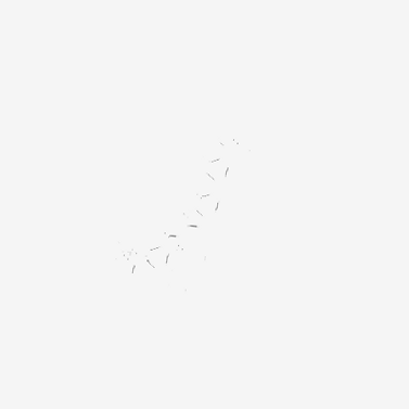 COc1cc(C(=O)N2CC3CCC2C3N)cc2nc(-c3cc4ccc(-c5ccc(C(N)=O)c(O)c5)nc4n3CC3CC3)n(C)c12